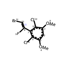 COc1cc(OC)c(Cl)c(/C(F)=C/Br)c1Cl